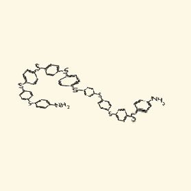 Nc1ccc(Sc2ccc(Sc3ccc(Sc4ccc(Sc5ccc(Sc6ccc(Sc7ccc(Sc8ccc(Sc9ccc(N)cc9)cc8)cc7)cc6)cc5)cc4)cc3)cc2)cc1